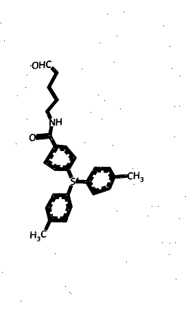 Cc1ccc([S+](c2ccc(C)cc2)c2ccc(C(=O)NCCCC[C]=O)cc2)cc1